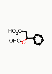 O=COC(CC(=O)O)c1ccccc1